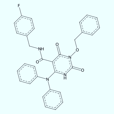 O=C(NCc1ccc(F)cc1)c1c(N(c2ccccc2)c2ccccc2)[nH]c(=O)n(OCc2ccccc2)c1=O